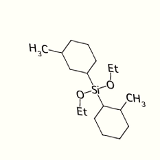 CCO[Si](OCC)(C1CCCC(C)C1)C1CCCCC1C